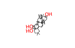 CC1(C)CC[C@@]2(CO)C(=C3C=C[C@@H]4[C@@]5(C)CC[C@H](O)C(C)(C)[C@@H]5CC[C@@]4(C)[C@]3(C)C[C@@H]2O)C1